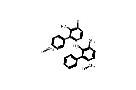 CCC.CCC.Nc1cccc(-c2ccccc2)c1N.Nc1cccc(-c2ccccc2)c1N